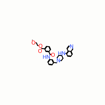 COCCOC(=O)c1cccc(C(=O)Nc2cccc(CN3CCC(Nc4cccc5cnccc45)CC3)c2)c1